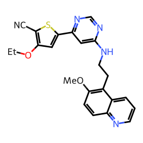 CCOc1cc(-c2cc(NCCc3c(OC)ccc4ncccc34)ncn2)sc1C#N